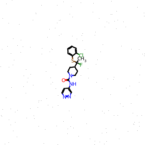 CC(F)(Sc1ccccc1Cl)C1CCN(C(=O)Nc2ccnnc2)CC1